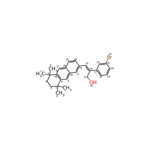 CC1(C)CCC(C)(C)c2cc3cc(C=C(CO)c4cccc(Br)c4)ccc3cc21